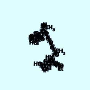 CCC(=O)N1CCN(c2nc(NCCC(=O)N(C)CCOCCOCCOCCOc3cc(-c4scnc4C)ccc3CNC(=O)[C@@H]3C[C@@H](O)CN3C(=O)[C@@H](c3cc(C)no3)C(C)C)nc3c(F)c(-c4cc(O)cc5ccccc45)c(Cl)cc23)CC1